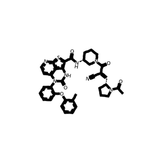 CC(=O)N1CCC[C@@H]1/C=C(\C#N)C(=O)N1CCC[C@@H](NC(=O)c2sc3nccc4c3c2NC(=O)N4c2ccccc2Oc2ccccc2C)C1